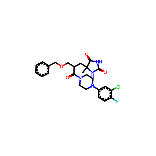 CC1(CC(COCc2ccccc2)C(=O)N2CCN(c3ccc(F)c(Cl)c3)CC2)NC(=O)NC1=O